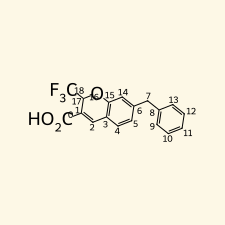 O=C(O)C1=Cc2ccc(Cc3ccccc3)cc2OC1C(F)(F)F